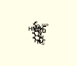 C=CC(=O)Nc1cc2ccc3ncccc3c2nc1NC(=O)C=C